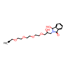 C#CCOCCOCCOCCOCC(O)CN1C(=O)c2ccccc2C1O